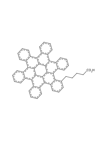 O=C(O)CCCCc1cccc2c1c1c3ccccc3c3c4ccccc4c4c5ccccc5c5c6ccccc6c6c7ccccc7c2c2c6c5c4c3c12